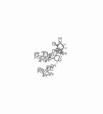 CC(C)[SiH](C(C)C)[Si](OOC[C@H]1O[C@@H](Nc2cc[nH]c(=O)n2)[C@](O)(S(=O)(=O)C(F)(F)F)[C@@H]1OO[Si](C(C)C)(C(C)C)[SiH](C(C)C)C(C)C)(C(C)C)C(C)C